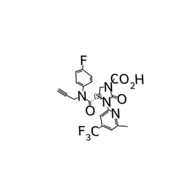 C#CCN(C(=O)[C@@H]1CN(C(=O)O)C(=O)N1c1cc(C(F)(F)F)cc(C)n1)c1ccc(F)cc1